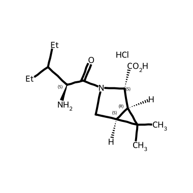 CCC(CC)[C@H](N)C(=O)N1C[C@H]2[C@@H]([C@H]1C(=O)O)C2(C)C.Cl